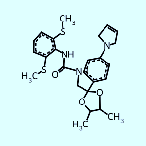 CSc1cccc(SC)c1NC(=O)NCC1(c2ccc(N3CC=CC3)cc2)OC(C)C(C)O1